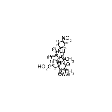 CCCN(C(=O)[C@H](C)NC(=O)[C@H](C)N(OC)C(=O)CCC(=O)O)[C@H](C(=O)Nc1ccc([N+](=O)[O-])cc1)C(C)C